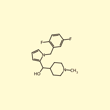 CN1CCC(C(O)c2cccn2Cc2cc(F)ccc2F)CC1